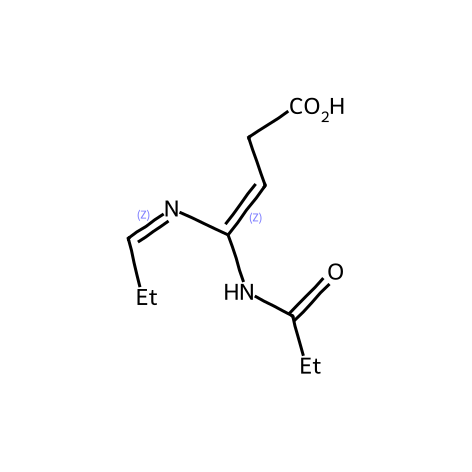 CC/C=N\C(=C/CC(=O)O)NC(=O)CC